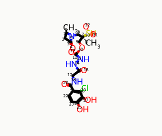 C[C@@H]1CC(=O)N1C[C@](C)(COC(=O)NNC(=O)CNC(=O)c1ccc(O)c(O)c1Cl)[SH](=O)=O